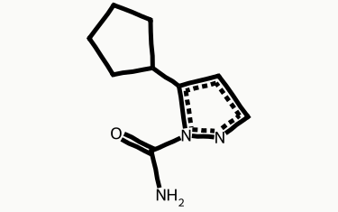 NC(=O)n1nccc1C1CCCC1